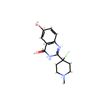 CN1CCC(F)(c2nc3ccc(Br)cc3c(=O)[nH]2)CC1